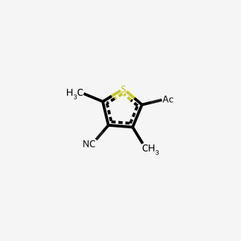 CC(=O)c1sc(C)c(C#N)c1C